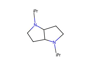 CC(C)N1CCC2C1CCN2C(C)C